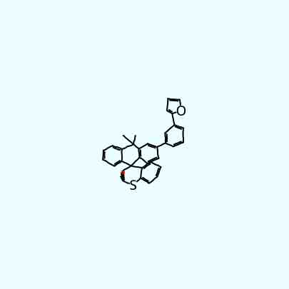 CC1(C)c2ccccc2C2(c3ccccc3Sc3ccccc32)c2ccc(-c3cccc(-c4ccco4)c3)cc21